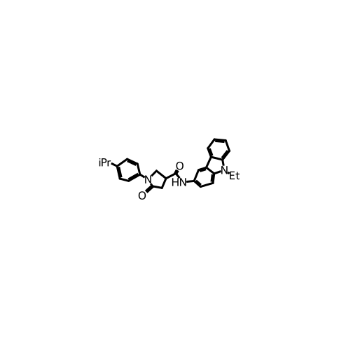 CCn1c2ccccc2c2cc(NC(=O)C3CC(=O)N(c4ccc(C(C)C)cc4)C3)ccc21